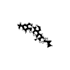 Cn1cc(-c2ccnc(-n3ncc4cc(C(C)(C)C)cc(F)c4c3=O)c2CO)cc(NC(=O)C2CC23CC3)c1=O